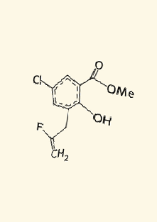 C=C(F)Cc1cc(Cl)cc(C(=O)OC)c1O